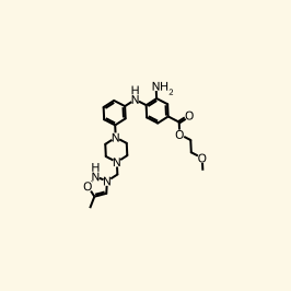 COCCOC(=O)c1ccc(Nc2cccc(N3CCN(CN4C=C(C)ON4)CC3)c2)c(N)c1